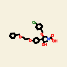 O=C(O)N1CC(O)C(c2ccc(OCCCOCc3ccccc3)cc2)C(OCc2ccc(Cl)cc2)C1